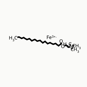 CCCCCCCCCCCCCCCCCC(=O)OCC[N+](C)(C)C.[Fe+3]